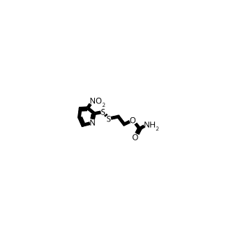 NC(=O)OCCSSc1ncccc1[N+](=O)[O-]